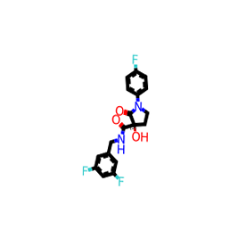 O=C(NCc1cc(F)cc(F)c1)[C@@]1(O)CCN(c2ccc(F)cc2)C1=O